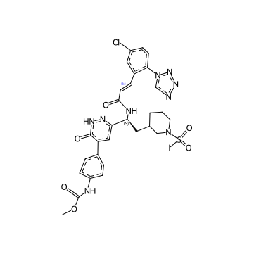 COC(=O)Nc1ccc(-c2cc([C@H](CC3CCCN(S(=O)(=O)I)C3)NC(=O)/C=C/c3cc(Cl)ccc3-n3cnnn3)n[nH]c2=O)cc1